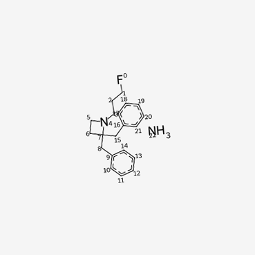 FCCCN1CCC1(Cc1ccccc1)Cc1ccccc1.N